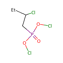 CCC(Cl)CP(=O)(OCl)OCl